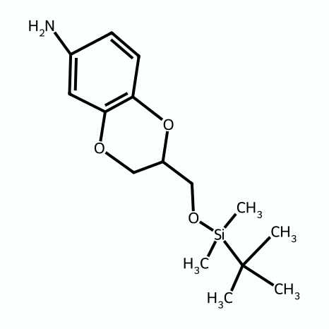 CC(C)(C)[Si](C)(C)OCC1COc2cc(N)ccc2O1